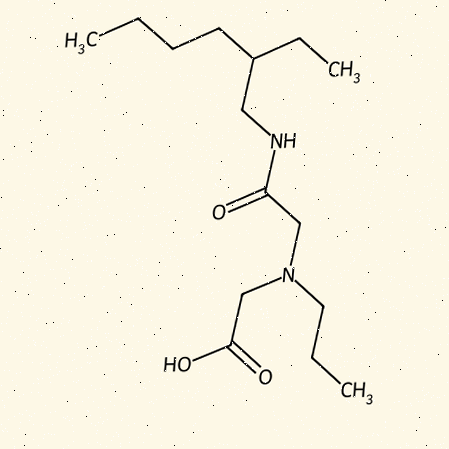 CCCCC(CC)CNC(=O)CN(CCC)CC(=O)O